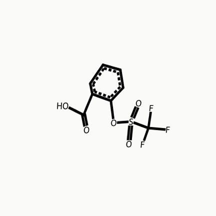 O=C(O)c1ccccc1OS(=O)(=O)C(F)(F)F